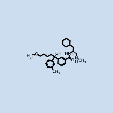 CNC[C@H](CC1CCCCC1)NC(=O)C1=CC([C@@](O)(CCCCOC)c2cccc(C)c2)CC=C1